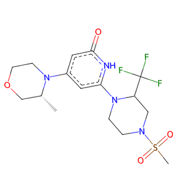 C[C@@H]1COCCN1c1cc(N2CCN(S(C)(=O)=O)CC2C(F)(F)F)[nH]c(=O)c1